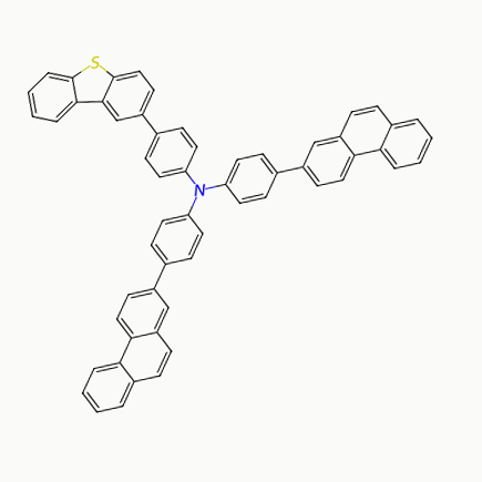 c1ccc2c(c1)ccc1cc(-c3ccc(N(c4ccc(-c5ccc6c(ccc7ccccc76)c5)cc4)c4ccc(-c5ccc6sc7ccccc7c6c5)cc4)cc3)ccc12